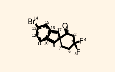 O=C1[CH]C(F)(F)CC[C@]12C=c1ccc(Br)cc1=C2